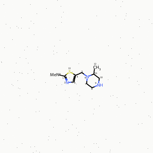 CNc1ncc(CN2CCNCC2C)s1